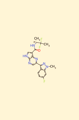 C[C@@H](NC(=O)c1c[nH]c2ncc(-c3nn(C)c4cc(F)ccc34)nc12)C(C)(F)F